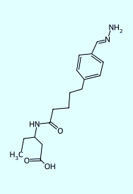 CCC(CC(=O)O)NC(=O)CCCCc1ccc(C=NN)cc1